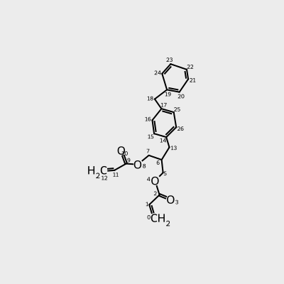 C=CC(=O)OCC(COC(=O)C=C)Cc1ccc(Cc2ccccc2)cc1